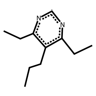 CCCc1c(CC)n[c]nc1CC